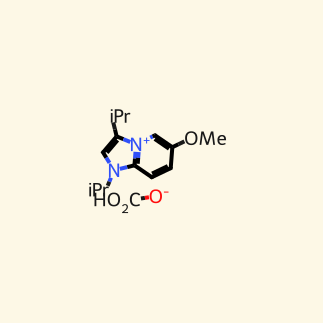 COc1ccc2n(C(C)C)cc(C(C)C)[n+]2c1.O=C([O-])O